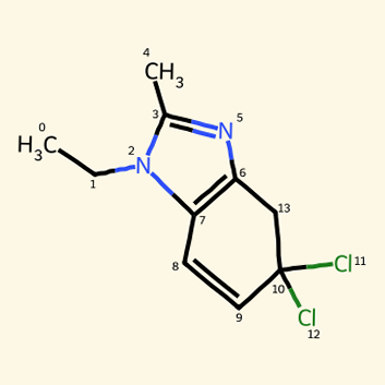 CCn1c(C)nc2c1C=CC(Cl)(Cl)C2